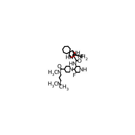 CN(C)CCCN(C)C(=O)C1CCN(C2C(F)CNCC2NC(=O)C2C(N)NC3CCC(F)CNC2CC32CCCCCC2)CC1